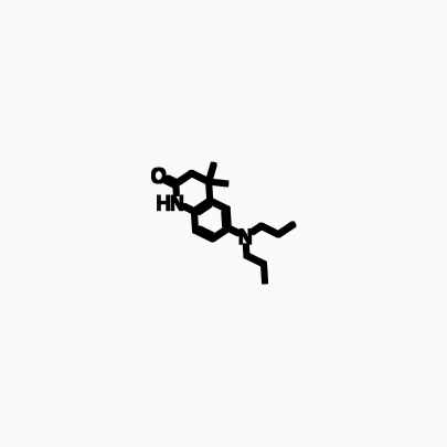 CCCN(CCC)c1ccc2c(c1)C(C)(C)CC(=O)N2